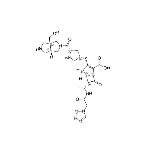 CC(NC(=O)Cn1cnnn1)[C@H]1C(=O)N2C(C(=O)O)=C(S[C@@H]3CN[C@H](C(=O)N4C[C@@H]5CNC[C@]5(CO)C4)C3)[C@H](C)[C@H]12